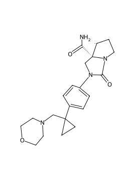 NC(=O)[C@]12[CH]CCN1C(=O)N(c1ccc(C3(CN4CCOCC4)CC3)cc1)C2